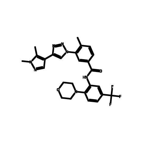 Cc1ccc(C(=O)Nc2cc(C(F)(F)F)ccc2N2CCOCC2)cc1-n1cc(-c2cnn(C)c2C)nn1